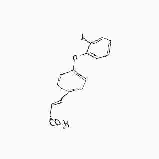 O=C(O)/C=C/c1ccc(Oc2ccccc2I)cc1